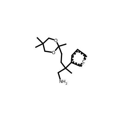 CC1(C)COC(C)(CCC(C)(CN)c2ccccc2)OC1